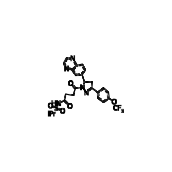 CC(C)S(=O)(=O)NC(=O)CCC(=O)N1N=C(c2ccc(OC(F)(F)F)cc2)CC1c1ccc2nccnc2c1